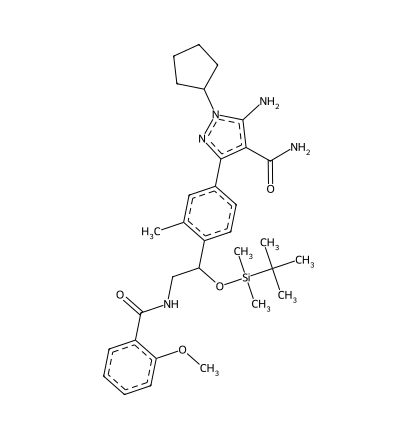 COc1ccccc1C(=O)NCC(O[Si](C)(C)C(C)(C)C)c1ccc(-c2nn(C3CCCC3)c(N)c2C(N)=O)cc1C